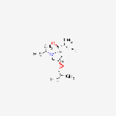 CC(C)CO[C@@H]1C[C@@H](C(=O)C(C)C)N(C(C)C)C1